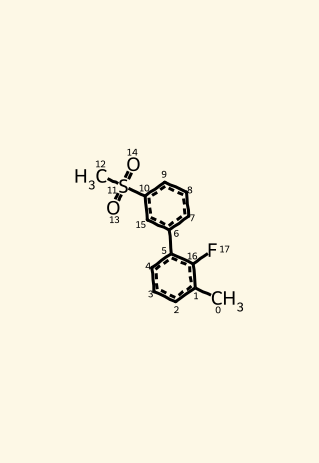 Cc1cccc(-c2cccc(S(C)(=O)=O)c2)c1F